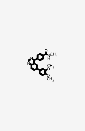 CNC(=O)c1ccc(-c2ncnc3ccc(-c4ccc(OC)c(OC)c4)cc23)cc1